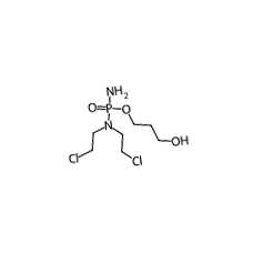 NP(=O)(OCCCO)N(CCCl)CCCl